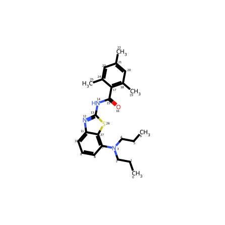 CCCN(CCC)c1cccc2nc(NC(=O)c3c(C)cc(C)cc3C)sc12